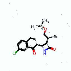 C[SiH](C)OC[C@H]([C@@H]1C(=O)N[C@@H]1[C@H]1CCc2ccc(Cl)cc2C1=O)C(C)(C)C